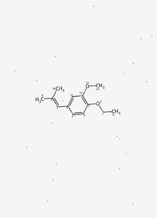 CCOc1ccc(C=C(C)C)cc1OC